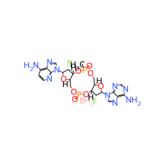 B[P@@]1(=O)OC[C@H]2O[C@@H](n3cnc4c(N)ccnc43)[C@H](F)[C@@H]2O[P@](C)(=O)OC[C@H]2O[C@@H](n3cnc4c(N)ncnc43)[C@H](F)[C@@H]2O1